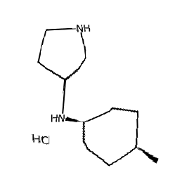 C[C@H]1CC[C@@H](NC2CCNC2)CC1.Cl